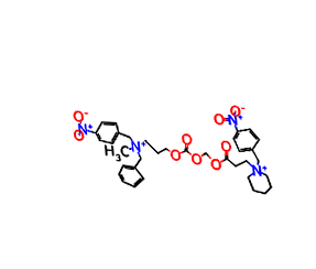 C[N+](CCCOC(=O)OCOC(=O)CC[N+]1(Cc2ccc([N+](=O)[O-])cc2)CCCCC1)(Cc1ccccc1)Cc1ccc([N+](=O)[O-])cc1